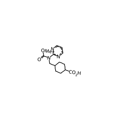 COC(=O)N(CC1CCC(C(=O)O)CC1)c1ncccn1